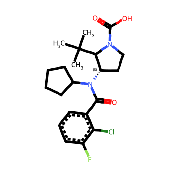 CC(C)(C)C1[C@@H](N(C(=O)c2cccc(F)c2Cl)C2CCCC2)CCN1C(=O)O